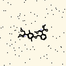 CO/C=C(/C(=O)OC)c1ccccc1COc1cc(C)c(/C(COC)=N/OC)cc1C